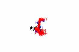 CC(C)(C)[Si](F)(c1ccc(C(=O)NC[C@H](NC(=O)CC[C@@H](C(=O)O)N2CCN(CC(=O)O)CCN(CC(=O)O)CCN(CC(=O)O)CC2)C(=O)N[C@@H](CCCCCNC(=O)CCCCCCC(=O)NCCCC[C@H](NC(=O)N[C@@H](CCC(=O)O)C(=O)O)C(=O)O)C(=O)O)cc1)C(C)(C)C